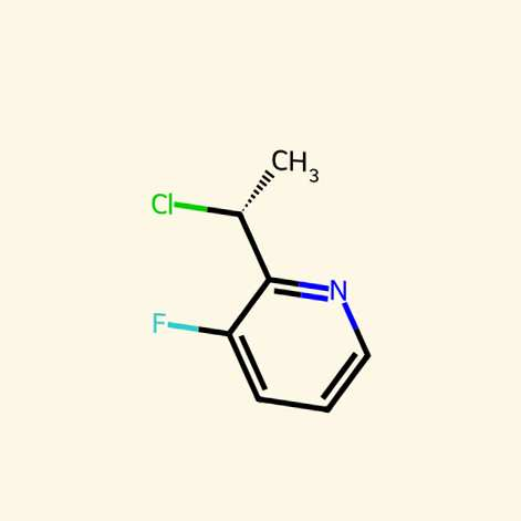 C[C@@H](Cl)c1ncccc1F